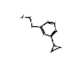 OCCc1cccc(C2CC2)c1